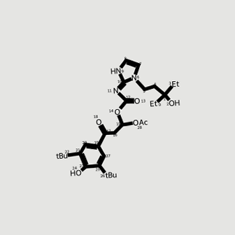 CCC(O)(CC)CCn1cc[nH]c1=NC(=O)OC(CC(=O)c1cc(C(C)(C)C)c(O)c(C(C)(C)C)c1)OC(C)=O